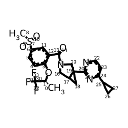 C[C@@H](Oc1ccc(S(C)(=O)=O)cc1C(=O)N1CC2CC2(c2nccc(C3CC3)n2)C1)C(F)(F)F